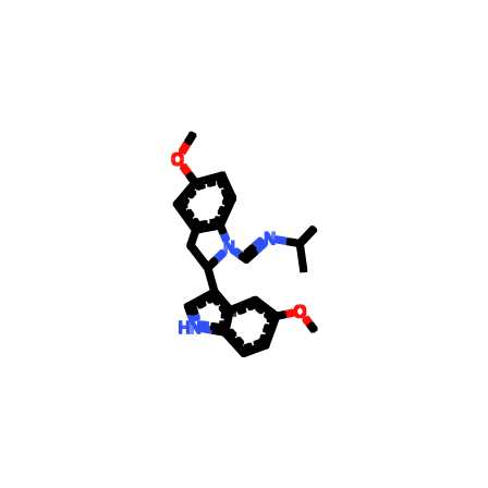 COc1ccc2c(c1)CC(c1c[nH]c3ccc(OC)cc13)N2C=NC(C)C